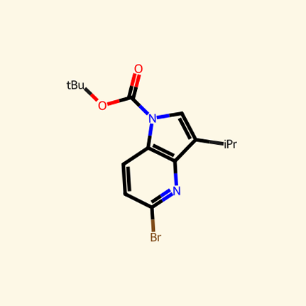 CC(C)c1cn(C(=O)OC(C)(C)C)c2ccc(Br)nc12